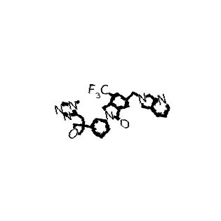 Cn1cnnc1CC1(c2cccc(N3Cc4c(cc(CN5Cc6cccnc6C5)cc4C(F)(F)F)C3=O)c2)COC1